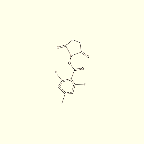 Cc1cc(F)c(C(=O)ON2C(=O)CCC2=O)c(F)c1